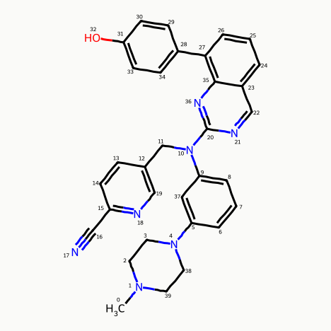 CN1CCN(c2cccc(N(Cc3ccc(C#N)nc3)c3ncc4cccc(-c5ccc(O)cc5)c4n3)c2)CC1